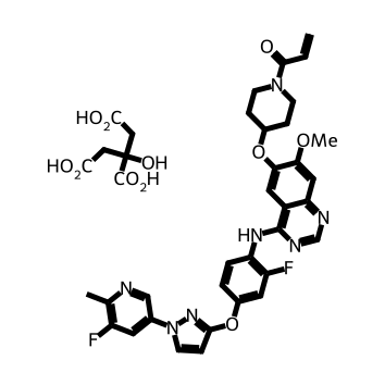 C=CC(=O)N1CCC(Oc2cc3c(Nc4ccc(Oc5ccn(-c6cnc(C)c(F)c6)n5)cc4F)ncnc3cc2OC)CC1.O=C(O)CC(O)(CC(=O)O)C(=O)O